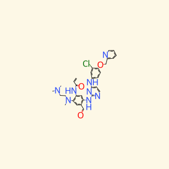 C=CC(=O)Nc1cc(Nc2nccc(Nc3ccc(OCc4ccccn4)c(Cl)c3)n2)c(C=O)cc1N(C)CCN(C)C